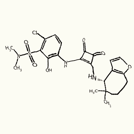 CN(C)S(=O)(=O)c1c(Cl)ccc(Nc2c(N[C@@H]3c4ccoc4CCC3(C)C)c(=O)c2=O)c1O